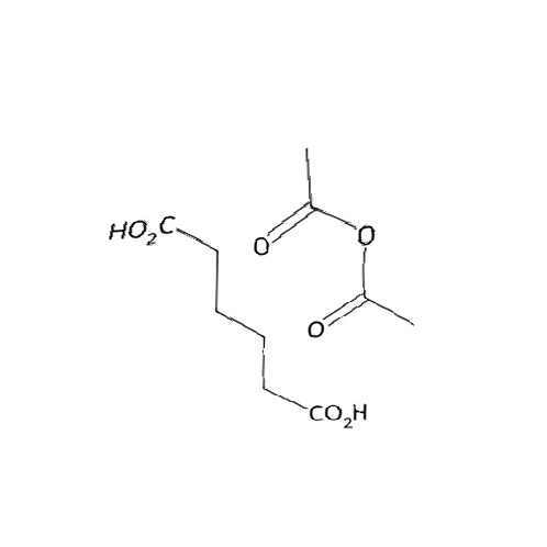 CC(=O)OC(C)=O.O=C(O)CCCCC(=O)O